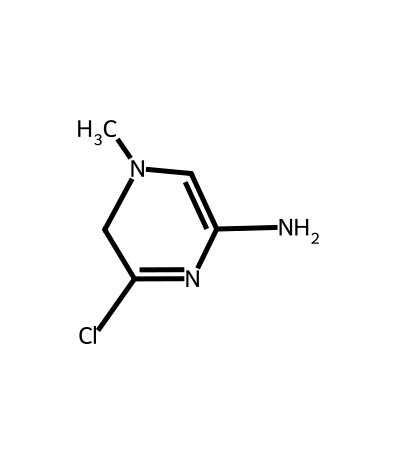 CN1C=C(N)N=C(Cl)C1